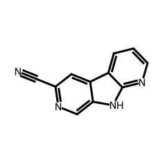 N#Cc1cc2c(cn1)[nH]c1ncccc12